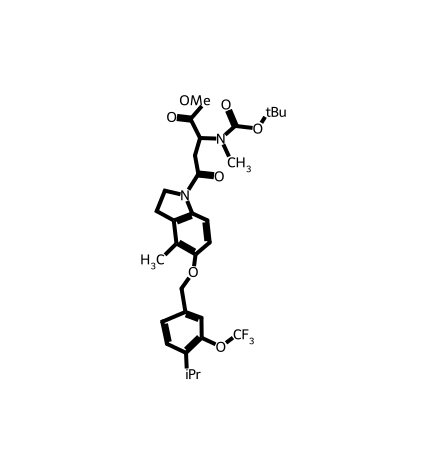 COC(=O)C(CC(=O)N1CCc2c1ccc(OCc1ccc(C(C)C)c(OC(F)(F)F)c1)c2C)N(C)C(=O)OC(C)(C)C